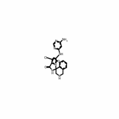 Nc1cc(Nc2cc(Cl)c3n(c2=O)C2(CNCc4ccccc42)NC3=O)ncn1